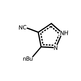 CCCCc1n[nH]cc1C#N